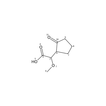 COC(C(=O)O)C1CCCC1=O